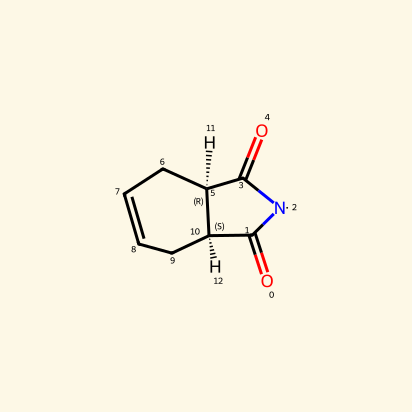 O=C1[N]C(=O)[C@@H]2CC=CC[C@H]12